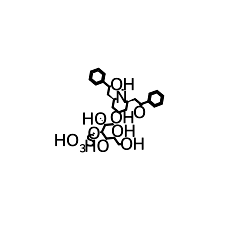 CN1[C@@H](CC(=O)c2ccccc2)CCC[C@H]1C[C@H](O)c1ccccc1.O=S(=O)(O)O[C@@H]([C@H](O)[C@H](O)CO)[C@H](O)CO